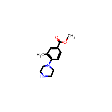 COC(=O)c1ccc(N2CCNCC2)c(C)c1